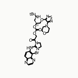 CC(C)(C)NC[C@@H](COc1nsnc1N1CCOCC1)OC(=O)OCC(=O)N1CCN=C1Nc1ccc2nccnc2c1Br